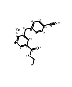 CCOC(=O)c1cncc(Cc2ccc(C#N)cc2)c1.[Zn]